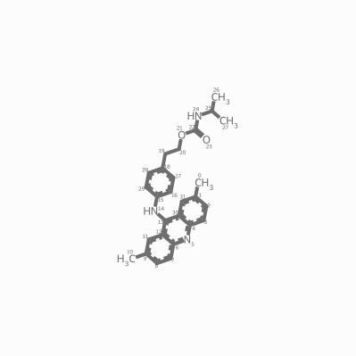 Cc1ccc2nc3ccc(C)cc3c(Nc3ccc(CCOC(=O)NC(C)C)cc3)c2c1